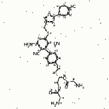 N#Cc1c(N)nc(SCc2coc(-c3ccc(Cl)cc3)n2)c(C#N)c1-c1ccc(OC[C@@H](COC(=O)CN)OC(=O)CN)cc1